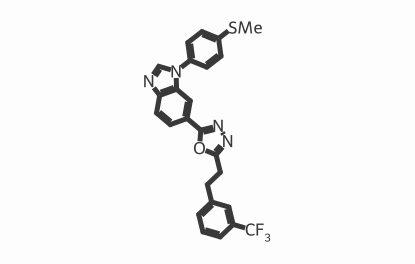 CSc1ccc(-n2cnc3ccc(-c4nnc(CCc5cccc(C(F)(F)F)c5)o4)cc32)cc1